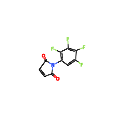 O=C1C=CC(=O)N1c1cc(F)c(F)c(F)c1F